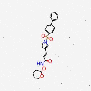 O=C(C=Cc1ccn(S(=O)(=O)c2ccc(-c3ccccc3)cc2)c1)NOC1CCCCO1